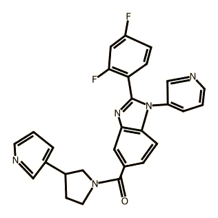 O=C(c1ccc2c(c1)nc(-c1ccc(F)cc1F)n2-c1cccnc1)N1CCC(c2cccnc2)C1